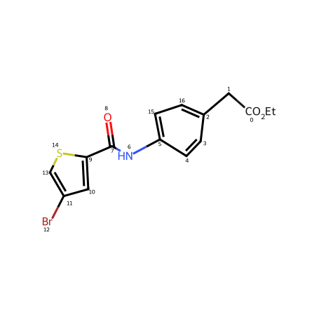 CCOC(=O)Cc1ccc(NC(=O)c2cc(Br)cs2)cc1